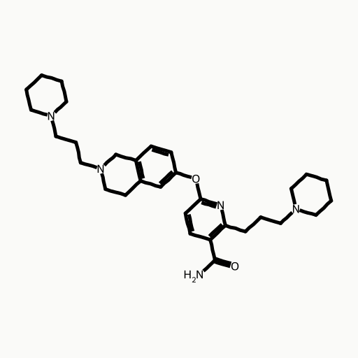 NC(=O)c1ccc(Oc2ccc3c(c2)CCN(CCCN2CCCCC2)C3)nc1CCCN1CCCCC1